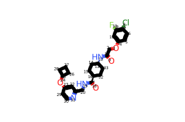 O=C(COc1ccc(Cl)c(F)c1)N[C@H]1CC[C@H](C(=O)NCc2cc(OC3CCC3)ccn2)CC1